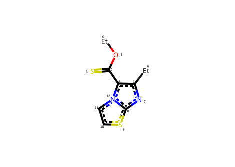 CCOC(=S)c1c(CC)nc2sccn12